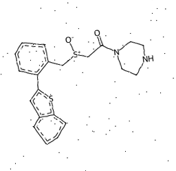 O=C(C[S+]([O-])Cc1ccccc1-c1cc2ccccc2s1)N1CCNCC1